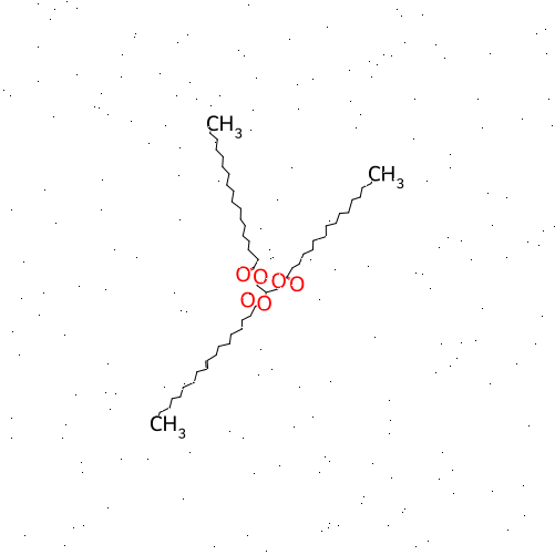 CCCCCCCCC=CCCCCCCCC(=O)OC(COC(=O)CCCCCCCCCCCCCCC)COC(=O)CCCCCCCCCCCCCCCCC